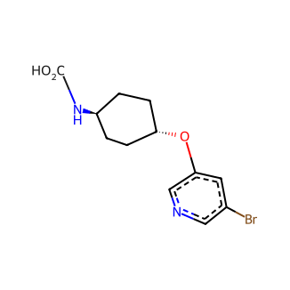 O=C(O)N[C@H]1CC[C@H](Oc2cncc(Br)c2)CC1